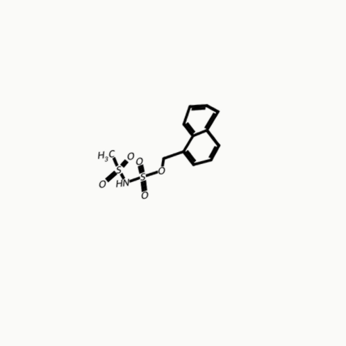 CS(=O)(=O)NS(=O)(=O)OCc1cccc2ccccc12